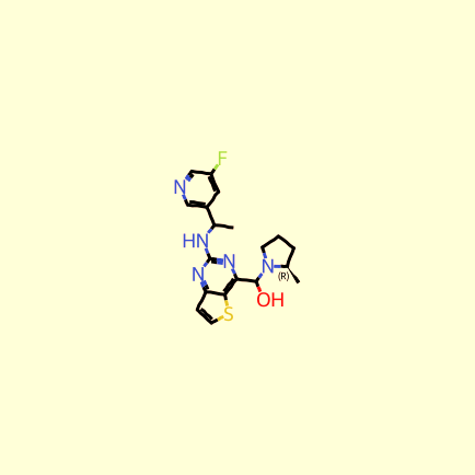 CC(Nc1nc(C(O)N2CCC[C@H]2C)c2sccc2n1)c1cncc(F)c1